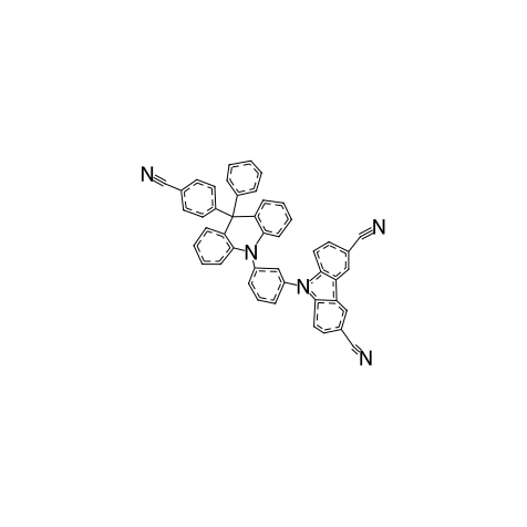 N#Cc1ccc(C2(c3ccccc3)c3ccccc3N(c3cccc(-n4c5ccc(C#N)cc5c5cc(C#N)ccc54)c3)c3ccccc32)cc1